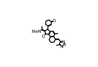 CN/C(C)=C1\C(=O)c2c(cc(C)c3c2CCC/C3=C\c2nonc2C)C1C1=CC(=O)CCC1